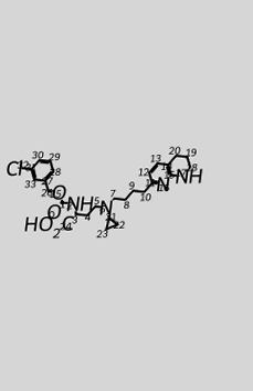 O=C(N[C@@H](CCN(CCCCc1ccc2c(n1)NCCC2)C1CC1)C(=O)O)OCc1cccc(Cl)c1